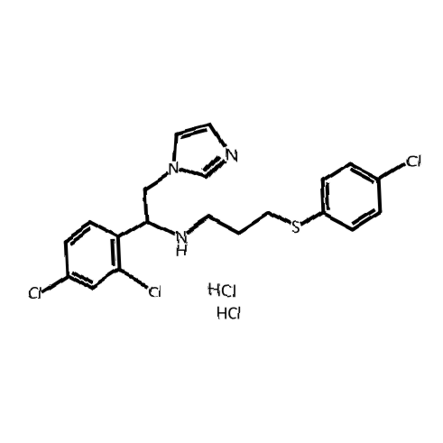 Cl.Cl.Clc1ccc(SCCCNC(Cn2ccnc2)c2ccc(Cl)cc2Cl)cc1